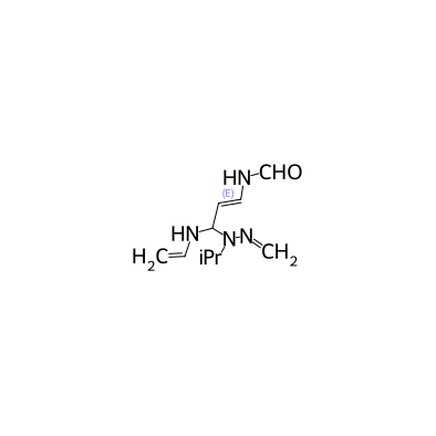 C=CNC(/C=C/NC=O)N(N=C)C(C)C